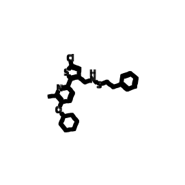 Cc1nc(-c2sc(Cl)cc2CNSCCc2ccccc2)ccc1OC1CCCCC1